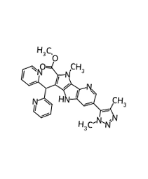 COC(=O)c1c(C(c2ccccn2)c2ccccn2)c2[nH]c3cc(-c4c(C)nnn4C)cnc3c2n1C